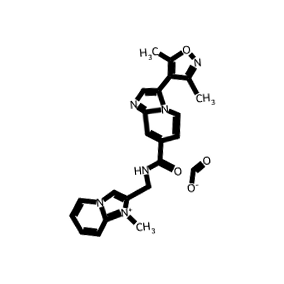 Cc1noc(C)c1-c1cnc2cc(C(=O)NCc3cn4ccccc4[n+]3C)ccn12.O=C[O-]